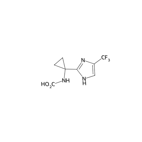 O=C(O)NC1(c2nc(C(F)(F)F)c[nH]2)CC1